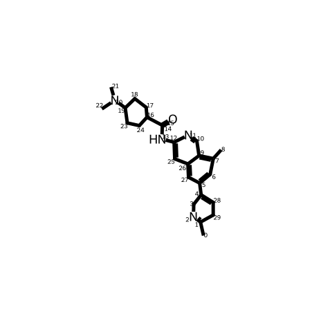 CC1=NCC(c2cc(C)c3cnc(NC(=O)C4CCC(N(C)C)CC4)cc3c2)=CC1